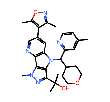 Cc1ccnc(C(C2CCOCC2)n2c3cc(-c4c(C)noc4C)cnc3c3c2c(C(C)(C)O)nn3C)c1